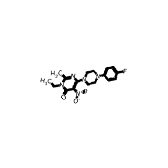 CCn1c(C)nc(N2CCN(c3ccc(F)cc3)CC2)c([N+](=O)[O-])c1=O